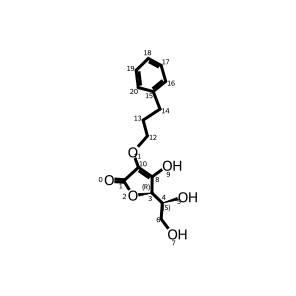 O=C1O[C@H]([C@@H](O)CO)C(O)=C1OCCCc1ccccc1